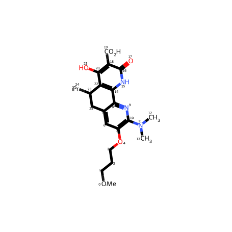 COCCCOc1cc2c(nc1N(C)C)-c1[nH]c(=O)c(C(=O)O)c(O)c1C(C(C)C)C2